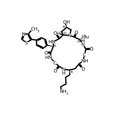 Cc1ncsc1-c1ccc([C@H]2NC(=O)[C@@H]3C[C@@H](O)CN3C(=O)[C@H](C(C)(C)C)NC(=O)CNC(=O)C[C@@H](CCCCN)NC(=O)CNC2=O)cc1